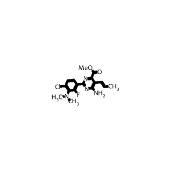 CC=Cc1c(N)nc(-c2ccc(Cl)c(N(C)C)c2F)nc1C(=O)OC